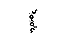 C=C(C)/C=C\C(=C)Nc1ccc2c(c1)CC(c1ccc(NC(=C)/C=C\C=O)cc1)=N2